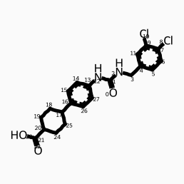 O=C(NCc1ccc(Cl)c(Cl)c1)Nc1ccc(C2CCC(C(=O)O)CC2)cc1